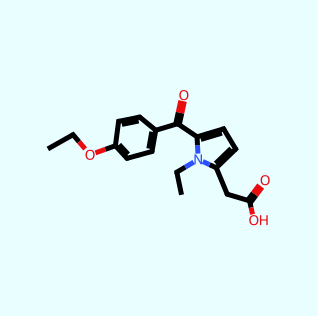 CCOc1ccc(C(=O)c2ccc(CC(=O)O)n2CC)cc1